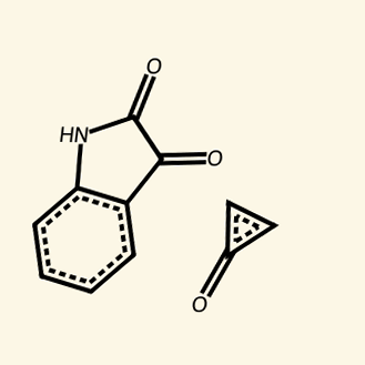 O=C1Nc2ccccc2C1=O.O=c1cc1